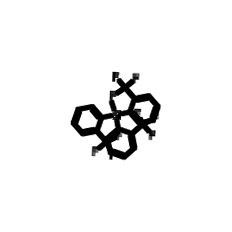 C[Si](c1ccccc1C(F)(F)F)(c1ccccc1C(F)(F)F)c1ccccc1C(F)(F)F